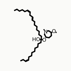 CC/C=C\CCCCCCCCC(O)(CCCCCCC/C=C/C/C=C\CCCCC)OC1CCC(OC)CN(C)C1